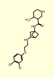 CC1CCNCC1C(=O)NC12CC(C1)C(NCCOc1ccc(Cl)c(Cl)c1)C2